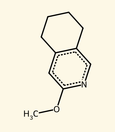 COc1cc2c(cn1)CCCC2